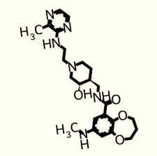 CNc1cc2c(c(C(=O)NC[C@@H]3CCN(CCNc4nccnc4C)C[C@H]3O)c1)OCCCO2